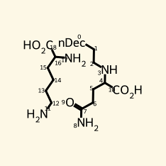 CCCCCCCCCCCCNC(CCC(N)=O)C(=O)O.NCCCCC(N)C(=O)O